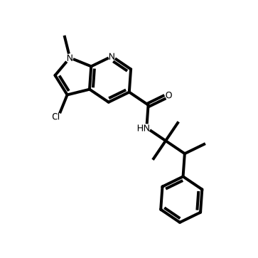 CC(c1ccccc1)C(C)(C)NC(=O)c1cnc2c(c1)c(Cl)cn2C